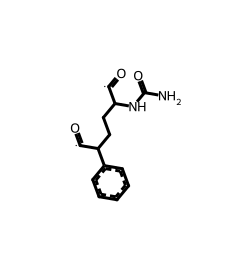 NC(=O)NC([C]=O)CCC([C]=O)c1ccccc1